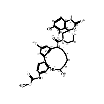 COC(=O)Nc1ccc2c(c1)NC(O)CCCC[C@H](C(=O)N1CCC[C@@]3(C1)OC(=O)Nc1ccc(Cl)c(F)c13)c1cc(F)cc-2c1